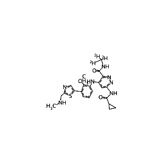 [2H]C([2H])([2H])NC(=O)c1nnc(NC(=O)C2CC2)cc1Nc1cccc(-c2cnc(CNC)s2)c1OC